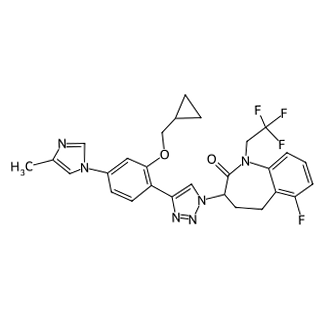 Cc1cn(-c2ccc(-c3cn(C4CCc5c(F)cccc5N(CC(F)(F)F)C4=O)nn3)c(OCC3CC3)c2)cn1